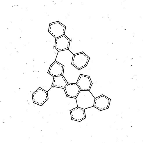 c1ccc(-c2nc3ccccc3nc2-c2ccc3c(c2)c2c4cccc5c4c(cc2n3-c2ccccc2)-c2ccccc2-c2ccccc2-5)cc1